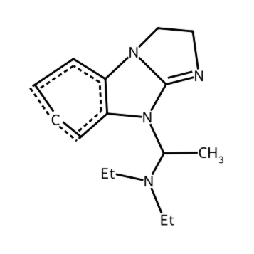 CCN(CC)C(C)N1C2=NCCN2c2ccccc21